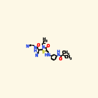 CCn1c(=C(C#N)C(=O)NCC#N)sc(=CNc2cccc(NC(=O)C(C)C)c2)c1=O